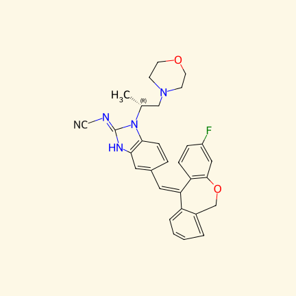 C[C@H](CN1CCOCC1)n1c(=NC#N)[nH]c2cc(C=C3c4ccccc4COc4cc(F)ccc43)ccc21